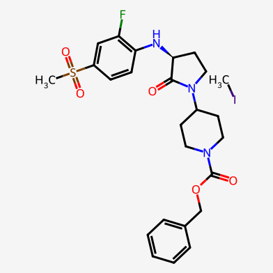 CI.CS(=O)(=O)c1ccc(N[C@H]2CCN(C3CCN(C(=O)OCc4ccccc4)CC3)C2=O)c(F)c1